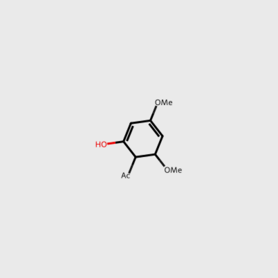 COC1=CC(OC)C(C(C)=O)C(O)=C1